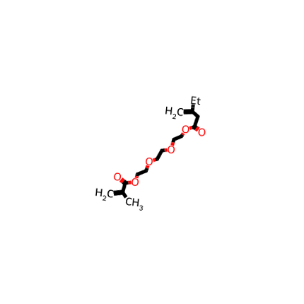 C=C(CC)CC(=O)OCCOCCOCCOC(=O)C(=C)C